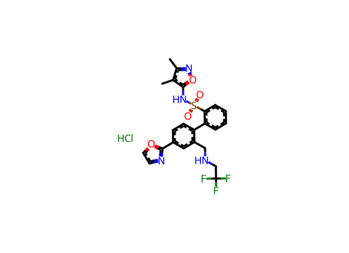 Cc1noc(NS(=O)(=O)c2ccccc2-c2ccc(-c3ncco3)cc2CNCC(F)(F)F)c1C.Cl